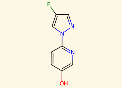 Oc1ccc(-n2cc(F)cn2)nc1